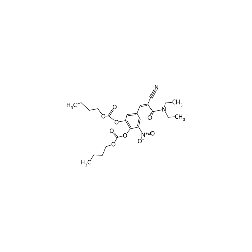 CCCCOC(=O)Oc1cc(C=C(C#N)C(=O)N(CC)CC)cc([N+](=O)[O-])c1OC(=O)OCCCC